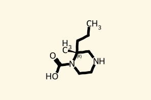 CCC[C@]1(C)CNCCN1C(=O)O